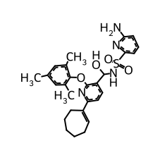 Cc1cc(C)c(Oc2nc(C3=CCCCCC3)ccc2C(O)NS(=O)(=O)c2cccc(N)n2)c(C)c1